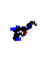 COc1cc(-c2cnc3[nH]cc(-c4ccc5c(c4)CCN5)c3c2)ccc1CN1CCN(C)CC1